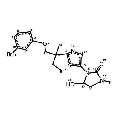 CCC(C)(COc1cccc(Br)c1)c1nnc(N2C(=O)N(C)CC2O)s1